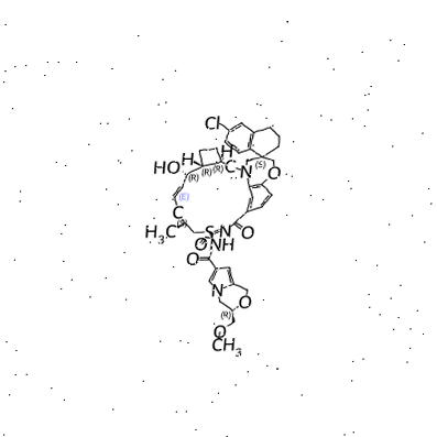 COC[C@H]1Cn2cc(C(=O)NS3(=O)=NC(=O)c4ccc5c(c4)N(C[C@@H]4CC[C@H]4[C@@H](O)/C=C/C[C@H](C)C3)C[C@@]3(CCCc4cc(Cl)ccc43)CO5)cc2CO1